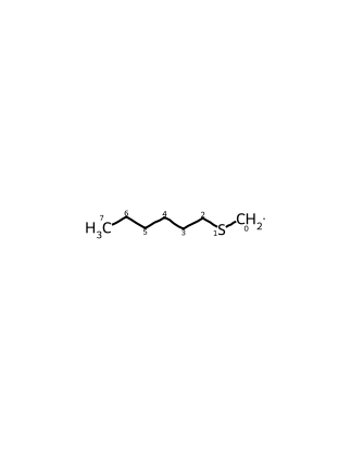 [CH2]SCCCCCC